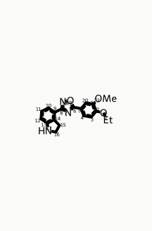 CCOc1ccc(-c2nc(-c3cccc4c3CCN4)no2)cc1OC